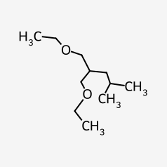 CCOCC(COCC)CC(C)C